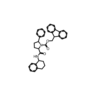 O=C(NC1CCCc2ccccc21)C1CCC(c2ccccc2)N1C(=O)OCC1c2ccccc2-c2ccccc21